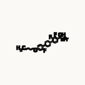 C=CCCCOc1ccc(C2CCC(c3ccc(C(O)CCC)c(F)c3F)CC2)c(F)c1